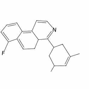 CC1=CC(C)CC(C2=NC=CC3=c4cccc(F)c4=CCC23)C1